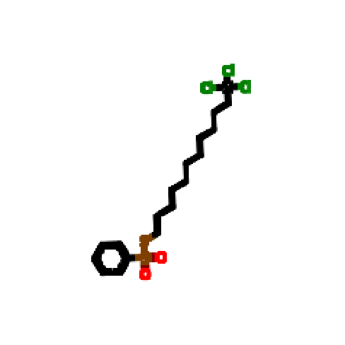 O=S(=O)(SC=CCCCCCCCCC[Si](Cl)(Cl)Cl)c1ccccc1